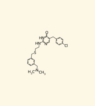 CN(C)Cc1cccc(CSCCNc2ncc(Cc3ccc(Cl)cc3)c(=O)[nH]2)c1